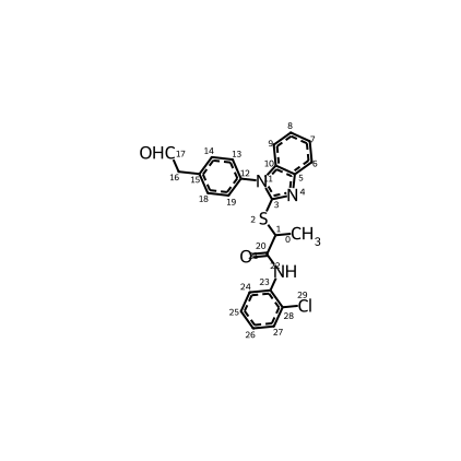 CC(Sc1nc2ccccc2n1-c1ccc(CC=O)cc1)C(=O)Nc1ccccc1Cl